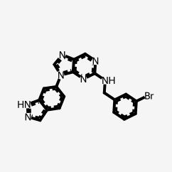 Brc1cccc(CNc2ncc3ncn(-c4ccc5cn[nH]c5c4)c3n2)c1